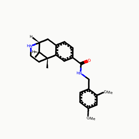 COc1ccc(CNC(=O)c2ccc3c(c2)[C@]2(C)CCN[C@H](C3)[C@@H]2C)c(OC)c1